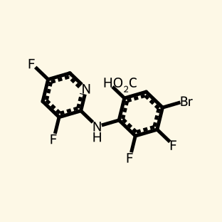 O=C(O)c1cc(Br)c(F)c(F)c1Nc1ncc(F)cc1F